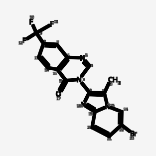 Cc1c(-n2cnc3cc(C(F)(F)F)ccc3c2=O)nc2ccc(Br)cn12